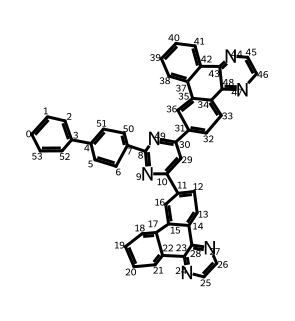 c1ccc(-c2ccc(-c3nc(-c4ccc5c(c4)c4ccccc4c4nccnc54)cc(-c4ccc5c(c4)c4ccccc4c4nccnc54)n3)cc2)cc1